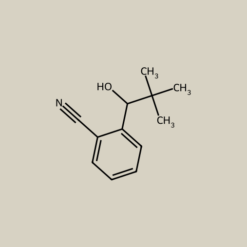 CC(C)(C)C(O)c1ccccc1C#N